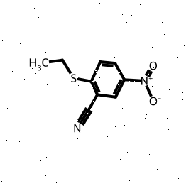 CCSc1ccc([N+](=O)[O-])cc1C#N